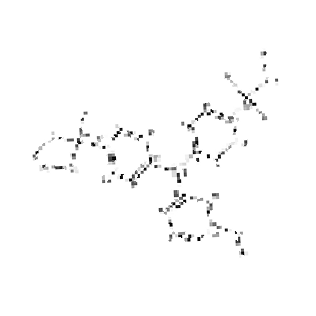 C=Cc1cccc(N(c2ccc(C(C)(C)CC)cc2)c2ccc(C(C)(CC)CC)cc2)c1